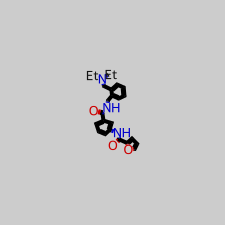 CCN(CC)Cc1ccccc1CNC(=O)c1cccc(NC(=O)c2ccco2)c1